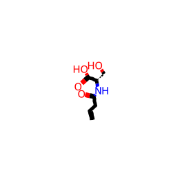 C=CCC(=O)N[C@@H](CO)C(=O)O